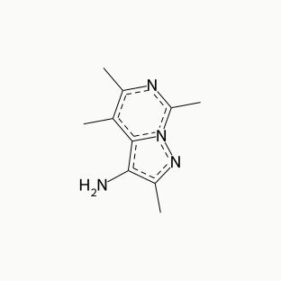 Cc1nc(C)n2nc(C)c(N)c2c1C